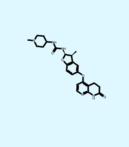 C[C@H]1c2cc(Oc3ccnc4c3CCC(=O)N4)ccc2O[C@H]1NC(=O)NC1CCN(C)CC1